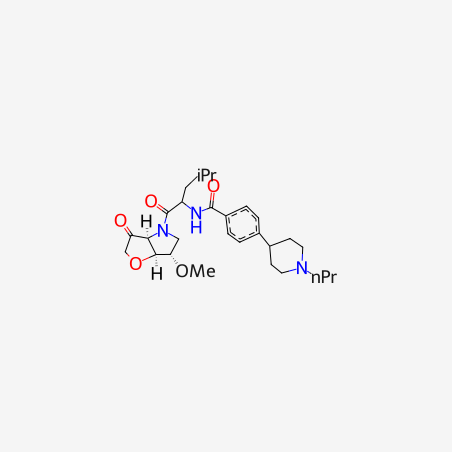 CCCN1CCC(c2ccc(C(=O)NC(CC(C)C)C(=O)N3C[C@H](OC)[C@H]4OCC(=O)[C@H]43)cc2)CC1